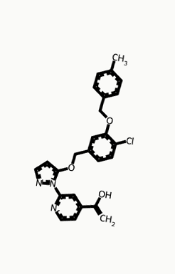 C=C(O)c1ccnc(-n2nccc2OCc2ccc(Cl)c(OCc3ccc(C)cc3)c2)c1